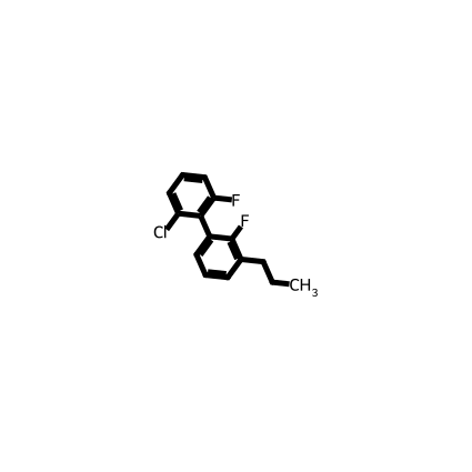 CCCc1cccc(-c2c(F)cccc2Cl)c1F